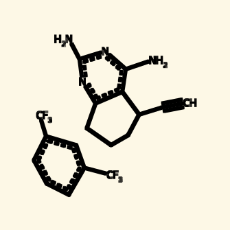 C#CC1CCCc2nc(N)nc(N)c21.FC(F)(F)c1cccc(C(F)(F)F)c1